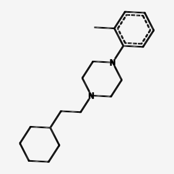 Cc1ccccc1N1CCN(CCC2CCCCC2)CC1